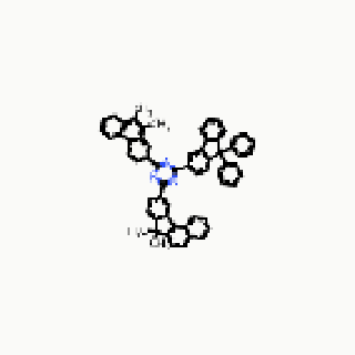 Cc1c(C)c2cc(-c3nc(-c4ccc5c(c4)-c4c(ccc6ccccc46)C5(C)C)nc(-c4ccc5c(c4)-c4ccccc4C5(c4ccccc4)c4ccccc4)n3)ccc2c2ccccc12